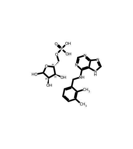 Cc1cccc(CNc2ncnc3nc[nH]c23)c1C.O=P(O)(O)OC[C@H]1OC(O)[C@H](O)[C@@H]1O